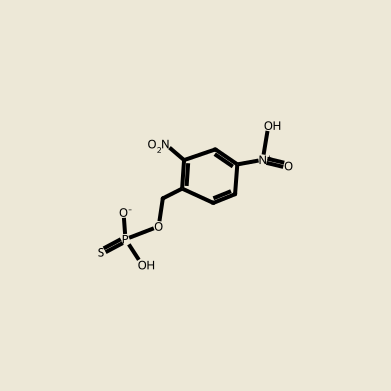 O=[N+]([O-])c1cc([N+](=O)O)ccc1COP([O-])(O)=S